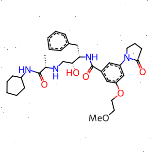 COCCOc1cc(C(=O)N[C@@H](Cc2ccccc2)[C@H](O)CN[C@@H](C)C(=O)NC2CCCCC2)cc(N2CCCC2=O)c1